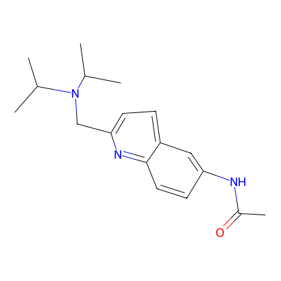 CC(=O)Nc1ccc2nc(CN(C(C)C)C(C)C)ccc2c1